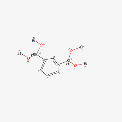 CCO[SiH](OCC)c1cccc([SiH](OCC)OCC)c1